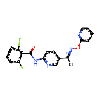 CC/C(=N\Oc1ccccn1)c1ccc(NC(=O)c2c(F)cccc2F)nc1